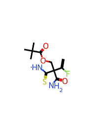 C=C(F)C(COC(=O)C(C)(C)C)(C(N)=O)C([NH])=S